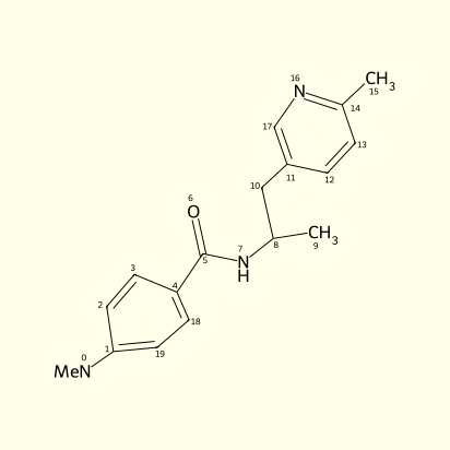 CNc1ccc(C(=O)NC(C)Cc2ccc(C)nc2)cc1